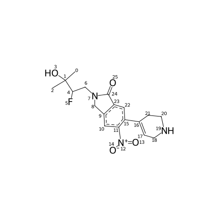 CC(C)(O)C(F)CN1Cc2cc([N+](=O)[O-])c(C3=CCNCC3)cc2C1=O